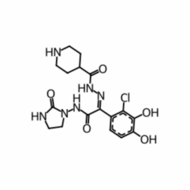 O=C(NN1CCNC1=O)/C(=N\NC(=O)C1CCNCC1)c1ccc(O)c(O)c1Cl